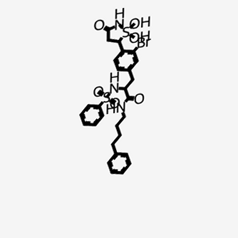 O=C1CC(c2ccc(CC(NS(=O)(=O)c3ccccc3)C(=O)NCCCCc3ccccc3)cc2Br)S(O)(O)N1